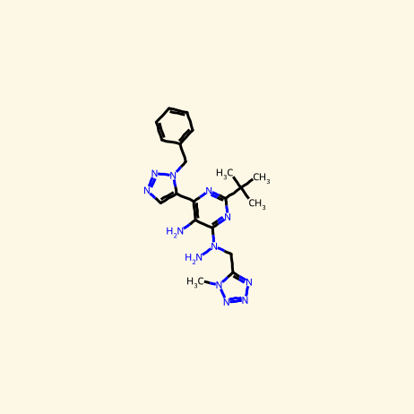 Cn1nnnc1CN(N)c1nc(C(C)(C)C)nc(-c2cnnn2Cc2ccccc2)c1N